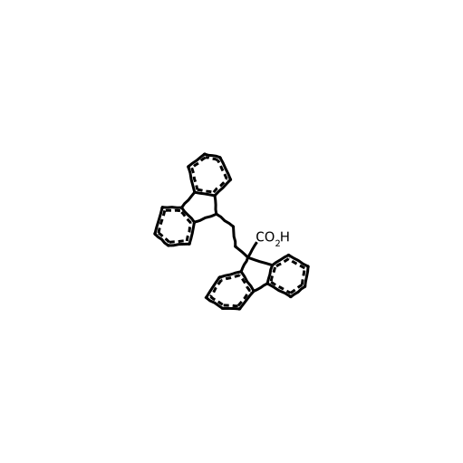 O=C(O)C1(CCC2c3ccccc3-c3ccccc32)c2ccccc2-c2ccccc21